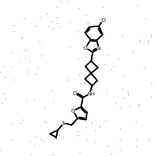 O=C(NC1CC2(C1)CC(c1nc3cc(Cl)ccc3o1)C2)c1ccc(CSC2CC2)o1